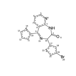 O=C1Nc2ncccc2C(c2cccs2)=NC1c1cc(Br)cs1